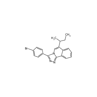 CCC(C)c1cn2c(-c3ccc(Br)cc3)nnc2c2ccccc12